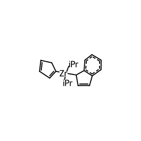 C[CH](C)[Zr]([C]1=CC=CC1)([CH](C)C)[CH]1C=Cc2ccccc21